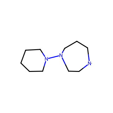 C1CCN(N2CCC[N]CC2)CC1